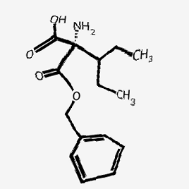 CCC(CC)[C@](N)(C(=O)O)C(=O)OCc1ccccc1